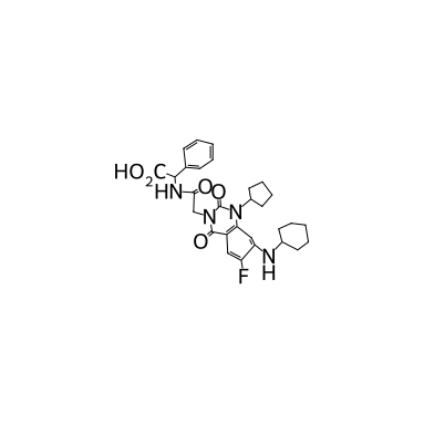 O=C(Cn1c(=O)c2cc(F)c(NC3CCCCC3)cc2n(C2CCCC2)c1=O)NC(C(=O)O)c1ccccc1